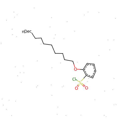 CCCCCCCCCCCCCCCCCCOc1ccccc1S(=O)(=O)Cl